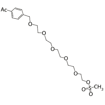 CC(=O)c1ccc(COCCOCCOCCOCCOCCOS(C)(=O)=O)cc1